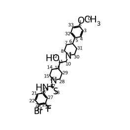 COc1ccc(C2CCN(CC(O)C3CCN(C(=S)Nc4ccc(Br)c(F)c4)CC3)CC2)cc1